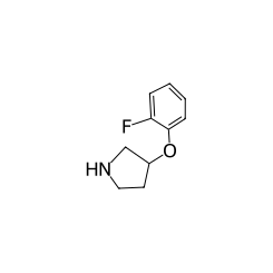 Fc1ccccc1OC1CCNC1